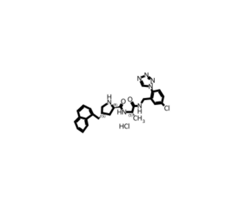 C[C@H](NC(=O)[C@H]1C[C@H](Cc2cccc3ccccc23)CN1)C(=O)NCc1cc(Cl)ccc1-n1cnnn1.Cl